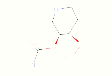 NC(=O)O[C@H]1CNCC[C@H]1OC(F)(F)F